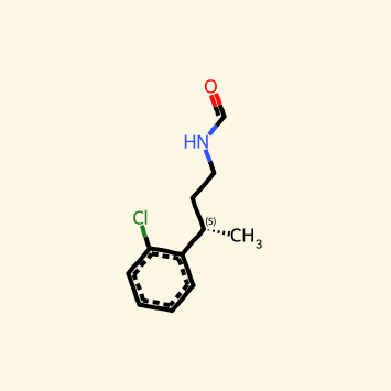 C[C@@H](CCNC=O)c1ccccc1Cl